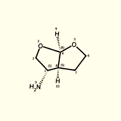 N[C@@H]1CO[C@H]2OCC[C@H]21